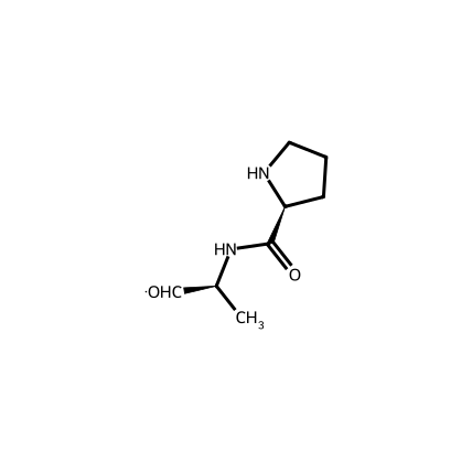 C[C@@H]([C]=O)NC(=O)[C@@H]1CCCN1